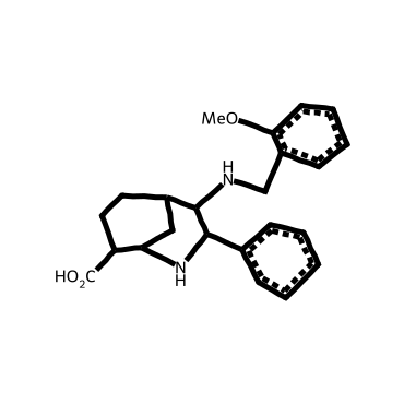 COc1ccccc1CNC1C2CCC(C(=O)O)C(C2)NC1c1ccccc1